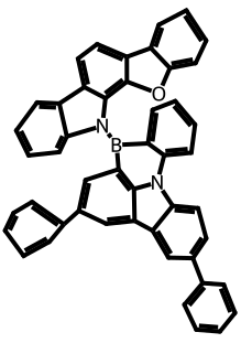 c1ccc(-c2ccc3c(c2)c2cc(-c4ccccc4)cc4c2n3-c2ccccc2B4n2c3ccccc3c3ccc4c5ccccc5oc4c32)cc1